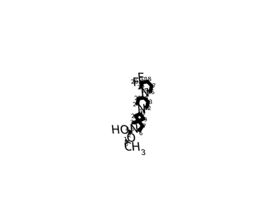 CCOC(O)N1CCC2(CC(N3CCC(N4CCCC(F)(F)C4)CC3)C2)C1